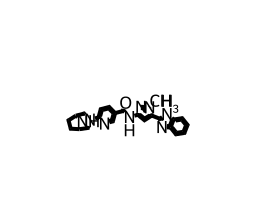 Cn1nc(NC(=O)c2ccc(N3CC4CCC(C3)N4)nc2)cc1-c1nc2ccccc2[nH]1